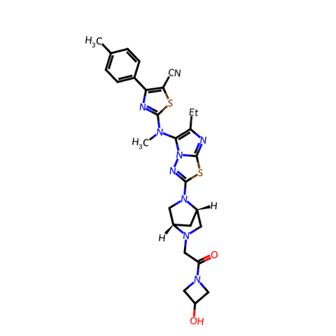 CCc1nc2sc(N3C[C@@H]4C[C@H]3CN4CC(=O)N3CC(O)C3)nn2c1N(C)c1nc(-c2ccc(C)cc2)c(C#N)s1